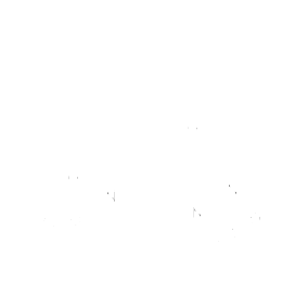 Cc1cccc2cccc(C3Cc4nc(S(C)(=O)=O)nc(C5=CCN(C(=O)OC(C)(C)C)CC5)c4CO3)c12